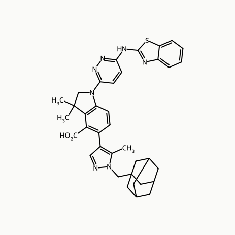 Cc1c(-c2ccc3c(c2C(=O)O)C(C)(C)CN3c2ccc(Nc3nc4ccccc4s3)nn2)cnn1CC12CC3CC(CC(C3)C1)C2